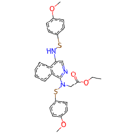 CCOC(=O)CN(Sc1ccc(OC)cc1)c1ncc(NSc2ccc(OC)cc2)c2ccccc12